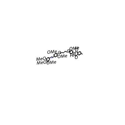 COc1cc(C2NC(=O)c3cc(C)ccc3N2)ccc1OCCCCCOc1c(OC)cc(/C=C/c2cc(OC)c(OC)c(OC)c2)cc1OC